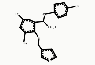 CCCc1cc(CC)cc([C@@H](Nc2ccc(C#N)cc2)C(=O)O)c1OCc1ccoc1